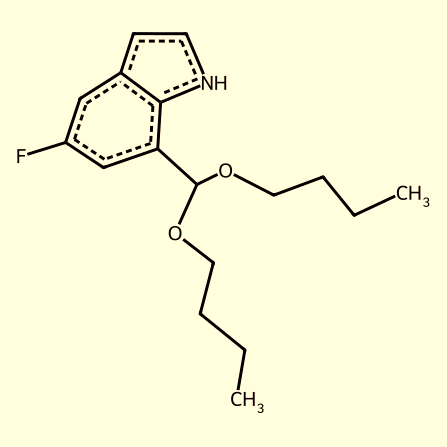 CCCCOC(OCCCC)c1cc(F)cc2cc[nH]c12